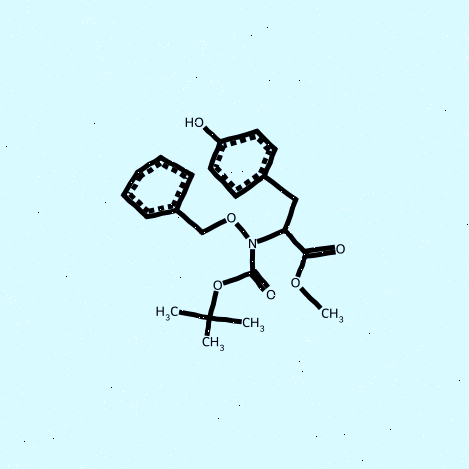 COC(=O)C(Cc1ccc(O)cc1)N(OCc1ccccc1)C(=O)OC(C)(C)C